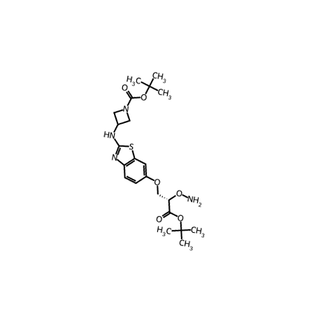 CC(C)(C)OC(=O)[C@H](COc1ccc2nc(NC3CN(C(=O)OC(C)(C)C)C3)sc2c1)ON